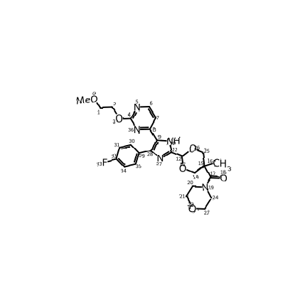 COCCOc1nccc(-c2[nH]c(C3OCC(C)(C(=O)N4CCOCC4)CO3)nc2-c2ccc(F)cc2)n1